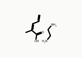 C=CC=C(C)C(=O)O.NCCN